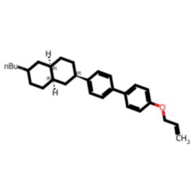 C=CCOc1ccc(-c2ccc([C@@H]3CC[C@@H]4CC(CCCC)CC[C@@H]4C3)cc2)cc1